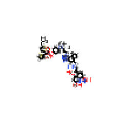 Cc1ccc([C@@](O)(C(=O)O[C@H]2CC[C@H](N(C)CCCn3nnc4cc(CNC[C@H](O)c5ccc(O)c6c5C=CC(O)N6)c5c(c43)CCC5)CC2)c2cccs2)s1